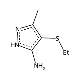 CCSc1c(C)n[nH]c1N